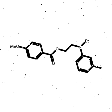 CCN(CCOC(=O)c1ccc(OC)cc1)c1cccc(C)c1